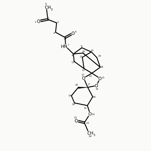 CC(=O)CCC(=O)NC12CC3CC(C1)C1(OO[C@@]4(CCCC(OC(C)=O)C4)O1)C(C3)C2